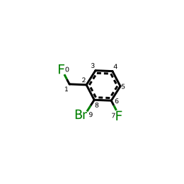 FCc1cccc(F)c1Br